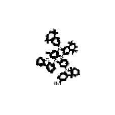 Cc1cc2c3c(c1)N(c1cccc4c1oc1ccccc14)c1cc(N4c5ccc(C(C)(C)C)cc5C5(C)CCCCC45C)ccc1B3c1cc3c(cc1N2c1ccc2c(c1)C(C)(C)CCC2(C)C)C(C)(C)CCC3(C)C